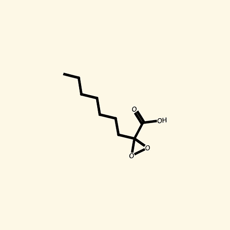 CCCCCCCC1(C(=O)O)OO1